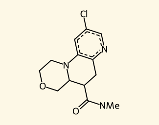 CNC(=O)C1Cc2ncc(Cl)cc2N2CCOCC12